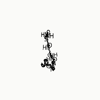 O=C(CCCCC1SCC2NC(=O)NC21)NCCCCCC(=O)NCCNC(=O)c1ccc(CN(Cc2ccccn2)CC(O)CN(Cc2ccccn2)Cc2ccccn2)nc1